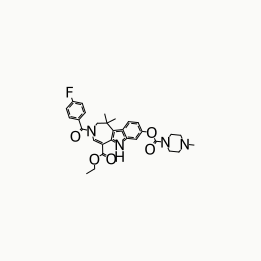 CCOC(=O)C1=CN(C(=O)c2ccc(F)cc2)CC(C)(C)c2c1[nH]c1cc(OC(=O)N3CCN(C)CC3)ccc21